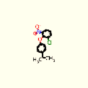 CC(C)c1ccc(Oc2c(Cl)cccc2[N+](=O)[O-])cc1